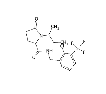 CCC(C)N1C(=O)CCC1C(=O)NCc1cccc(C(F)(F)F)c1Cl